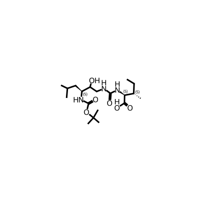 CC[C@H](C)[C@H](NC(=O)NCC(O)[C@H](CC(C)C)NC(=O)OC(C)(C)C)C(=O)O